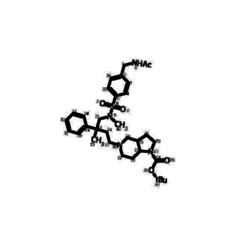 CC(=O)NCc1ccc(S(=O)(=O)N(C)CC(C)(CCN2CCC3C(CCN3C(=O)OC(C)(C)C)C2)c2ccccc2)cc1